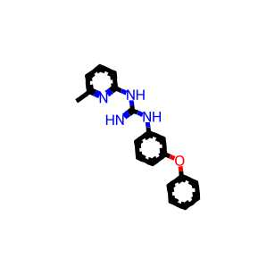 Cc1cccc(NC(=N)Nc2cccc(Oc3ccccc3)c2)n1